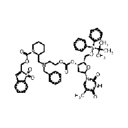 Cc1cn([C@H]2C[C@H](OC(=O)OCCN(Cc3ccccc3)CC3CCCCN3C(=O)OCC3=Cc4ccccc4S3(=O)=O)[C@@H](CO[Si](c3ccccc3)(c3ccccc3)C(C)(C)C)O2)c(=O)[nH]c1=O